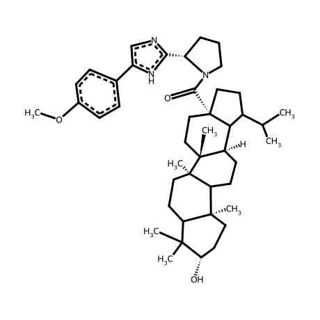 COc1ccc(-c2cnc([C@@H]3CCCN3C(=O)[C@]34CCC(C(C)C)C3[C@H]3CCC5[C@@]6(C)CC[C@H](O)C(C)(C)C6CC[C@@]5(C)[C@]3(C)CC4)[nH]2)cc1